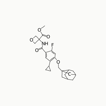 COC(=O)C1(NC(=O)c2cc(C3CC3)c(OCC34CC5CC(CC3C5)C4)cc2F)COC1